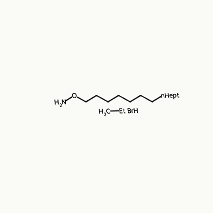 Br.CCC.CCCCCCCCCCCCCCON